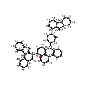 c1ccc(-c2ccccc2N(c2ccc(-c3cccc4c3oc3ccccc34)cc2)c2ccc(-c3cc4ccccc4c4c3sc3ccccc34)cc2)cc1